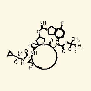 CC(C)(C)OC(=O)N[C@H]1CCCCC/C=C\[C@@H]2C[C@@]2(C(=O)NS(=O)(=O)C2CC2)NC(=O)[C@@H]2C[C@@H](OC(=N)N3Cc4cccc(F)c4C3)CN2C1=O